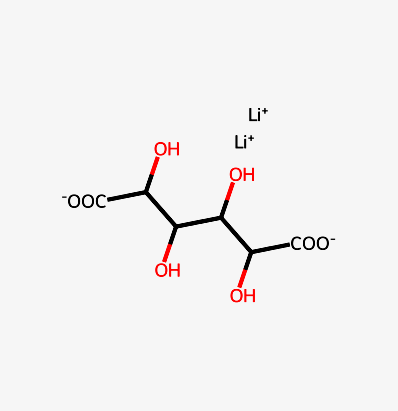 O=C([O-])C(O)C(O)C(O)C(O)C(=O)[O-].[Li+].[Li+]